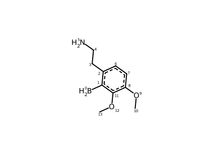 Bc1c(CCN)ccc(OC)c1OC